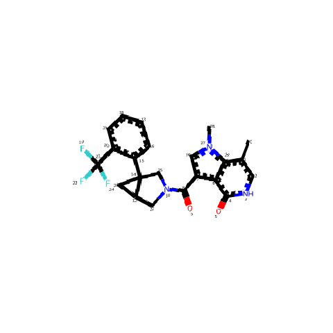 Cc1c[nH]c(=O)c2c(C(=O)N3CC4CC4(c4ccccc4C(F)(F)F)C3)cn(C)c12